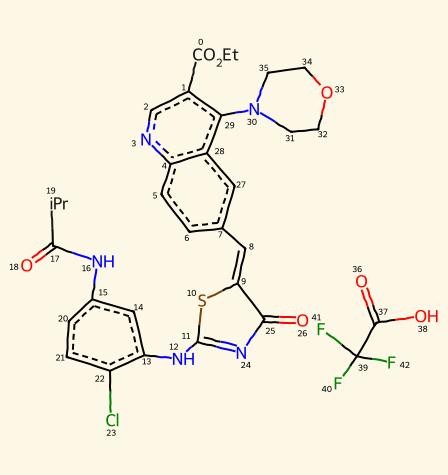 CCOC(=O)c1cnc2ccc(/C=C3\SC(Nc4cc(NC(=O)C(C)C)ccc4Cl)=NC3=O)cc2c1N1CCOCC1.O=C(O)C(F)(F)F